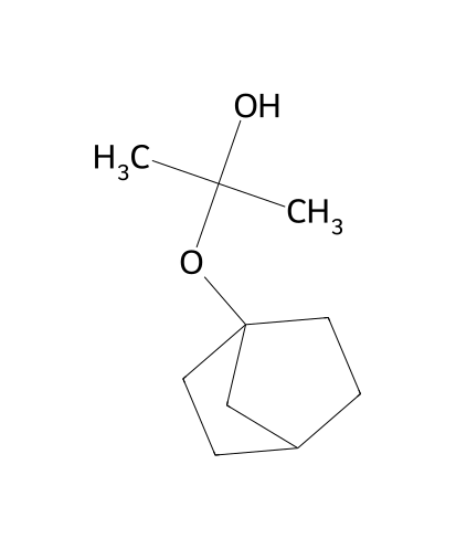 CC(C)(O)OC12CCC(CC1)C2